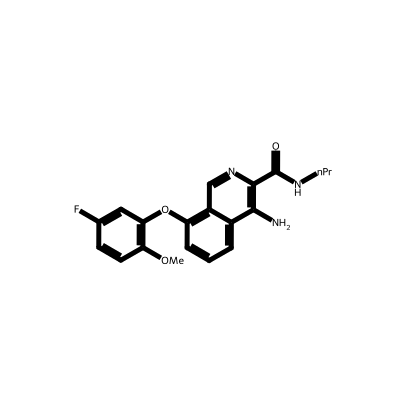 CCCNC(=O)c1ncc2c(Oc3cc(F)ccc3OC)cccc2c1N